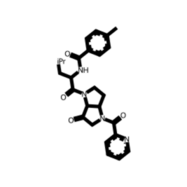 Cc1ccc(C(=O)NC(CC(C)C)C(=O)N2CCC3C2C(=O)CN3C(=O)c2ccccn2)cc1